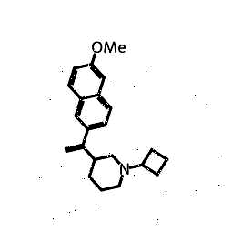 C=C(c1ccc2cc(OC)ccc2c1)C1CCCN(C2CCC2)C1